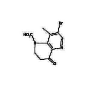 Cc1c(Br)cnc2c1N(C(=O)O)CCC2=O